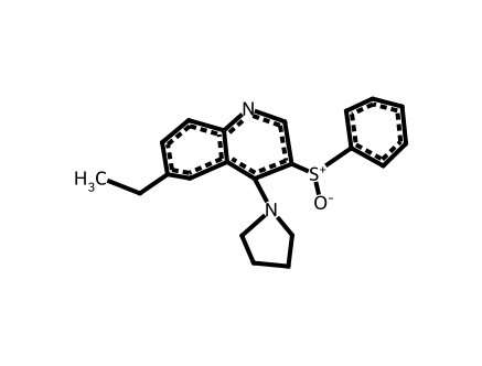 CCc1ccc2ncc([S+]([O-])c3ccccc3)c(N3CCCC3)c2c1